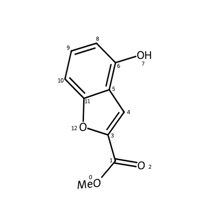 COC(=O)c1cc2c(O)cccc2o1